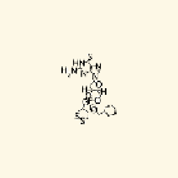 Nc1nc2c(ncn2[C@H]2C[C@@H]3OP(=O)(O[C@@H]4CSSC[C@H]4OCc4ccccc4)OC[C@H]3O2)c(=S)[nH]1